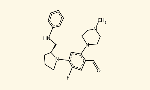 CN1CCN(c2cc(N3CCC[C@H]3CNc3ccccc3)c(F)cc2C=O)CC1